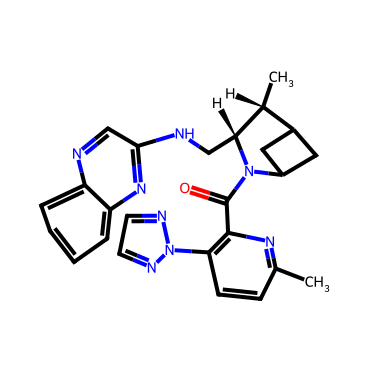 Cc1ccc(-n2nccn2)c(C(=O)N2C3CC(C3)[C@@H](C)[C@H]2CNc2cnc3ccccc3n2)n1